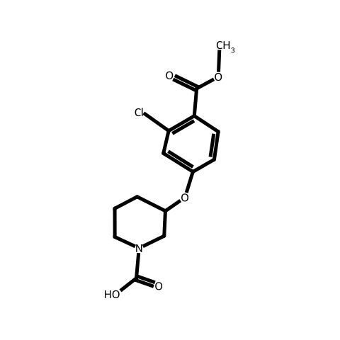 COC(=O)c1ccc(OC2CCCN(C(=O)O)C2)cc1Cl